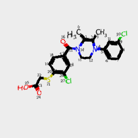 CC1C(C)N(c2cccc(Cl)c2)CCN1C(=O)c1ccc(SCC(=O)O)c(Cl)c1